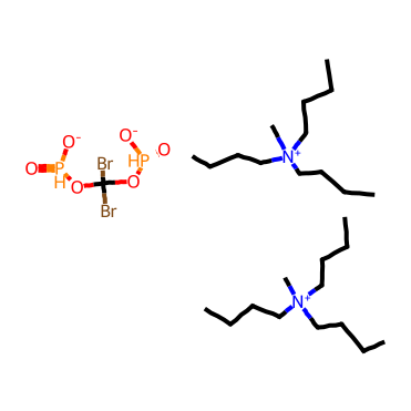 CCCC[N+](C)(CCCC)CCCC.CCCC[N+](C)(CCCC)CCCC.O=[PH]([O-])OC(Br)(Br)O[PH](=O)[O-]